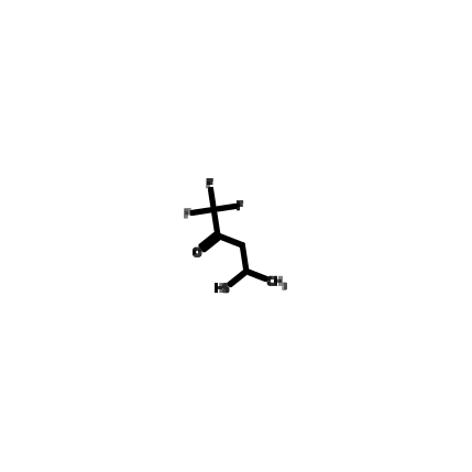 CC(S)CC(=O)C(F)(F)F